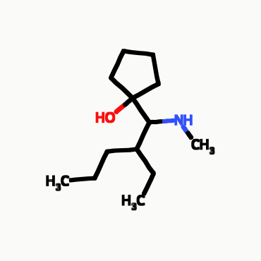 CCCC(CC)C(NC)C1(O)CCCC1